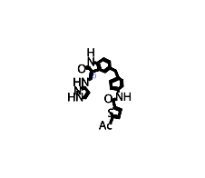 CC(=O)c1ccc(C(=O)Nc2ccc(Cc3ccc4c(c3)/C(=C/Nc3cc[nH]n3)C(=O)N4)cc2)s1